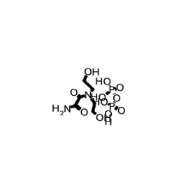 NC(=O)C(=O)N(CCO)CCO.O=P(O)(O)OP(=O)(O)O